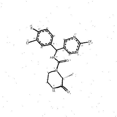 C[C@@H]1C(=O)NCCN1C(=O)NC(c1cnc(C(F)(F)F)nc1)c1ccc(F)c(Cl)c1